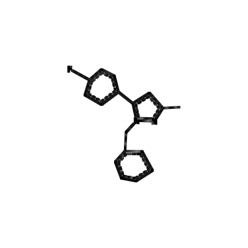 Cc1cc(-c2ccc(F)cc2)n(Cc2ccccc2)n1